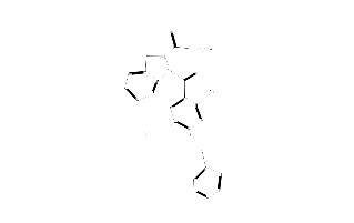 COC(=O)[C@@H]1Cc2ccccc2N1C(=O)c1cc(OC)c(OCc2ccccc2)cc1[N+](=O)[O-]